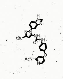 CC(=O)Nc1cc(Oc2ccc(NC(=O)Nc3cc(C(C)(C)C)nn3-c3ccc4[nH]cnc4c3)cc2)ccn1